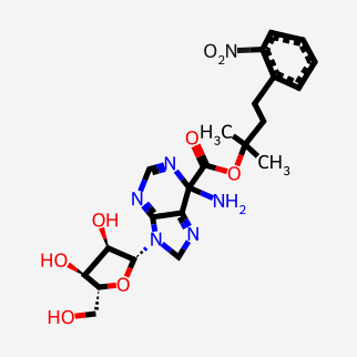 CC(C)(CCc1ccccc1[N+](=O)[O-])OC(=O)C1(N)N=CN=C2C1=NCN2[C@@H]1O[C@H](CO)[C@@H](O)[C@H]1O